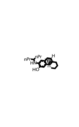 CCCC(CCC)Nc1cc2c(cc1O)[C@]13CCCC[C@@H]1[C@H](C2)NCC3